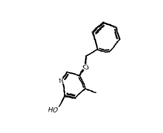 Cc1cc(O)ncc1OCc1ccccc1